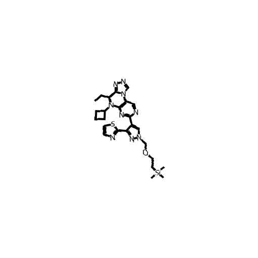 CCC1c2nncn2-c2cnc(-c3cn(COCC[Si](C)(C)C)nc3-c3nccs3)nc2N1C1CCC1